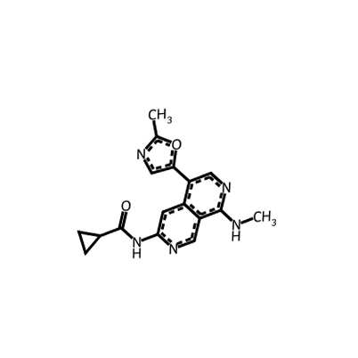 CNc1ncc(-c2cnc(C)o2)c2cc(NC(=O)C3CC3)ncc12